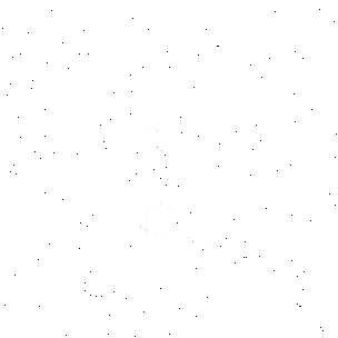 CC1CN(C(=O)OC(C)(C)C)CC=C1c1cncc(N)c1